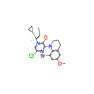 CC[C@](C)(C1CC1)n1cc(Cl)nc(N2CCCc3cc(OC)cc(Br)c32)c1=O